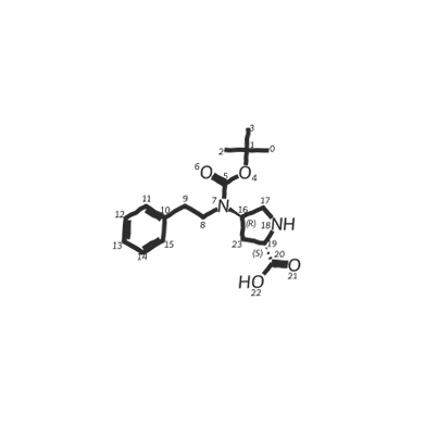 CC(C)(C)OC(=O)N(CCc1ccccc1)[C@H]1CN[C@H](C(=O)O)C1